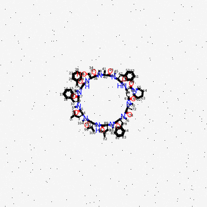 CC(C)C[C@H]1C(=O)N(C)[C@@H](Cc2ccccc2)C(=O)N(C)[C@H](Cc2ccccc2)C(=O)N[C@@H]([C@@H](C)O)C(=O)N(C)C(C)C(=O)N(C)[C@@H](Cc2ccccc2)C(=O)N[C@H](C(=O)N2CCCCC2)CC(=O)N(C)[C@@H](C)C(=O)N(C)[C@@H](Cc2ccccc2)C(=O)N(C)[C@@H](CC(C)C)C(=O)N[C@H](C(C)C)C(=O)N1C